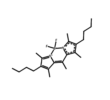 CCCCC1=C(C)C2=C(C)c3c(C)c(CCCC)c(C)n3[B-](F)(F)[N+]2=C1C